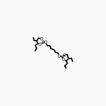 CCCC1OB(OCCCCCCOB2OCC(CC)C(CCC)O2)OCC1CC